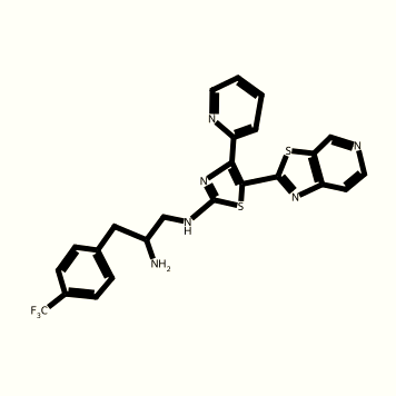 NC(CNc1nc(-c2ccccn2)c(-c2nc3ccncc3s2)s1)Cc1ccc(C(F)(F)F)cc1